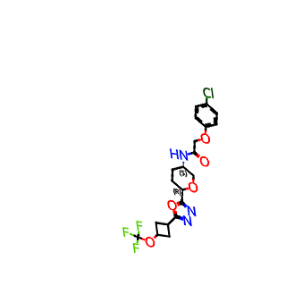 O=C(COc1ccc(Cl)cc1)N[C@H]1CC[C@H](c2nnc(C3CC(OC(F)(F)F)C3)o2)OC1